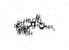 C[C@@]1(N=[N+]=[N-])[C@H](O)C(COP(=O)(O)OP(=O)(O)OP(=O)(O)O)O[C@H]1n1ccc(N)nc1=O